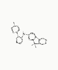 Cc1ccc(-c2ccccc2N(C)c2ccc3c(c2)C(C)(C)c2ccccc2-3)cc1